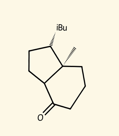 CC[C@@H](C)C1CCC2C(=O)CCC[C@@]21C